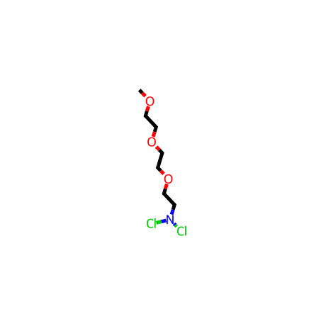 COCCOCCOCCN(Cl)Cl